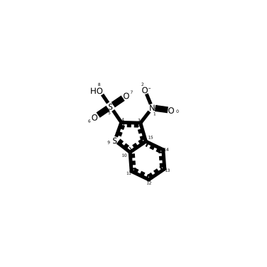 O=[N+]([O-])c1c(S(=O)(=O)O)sc2ccccc12